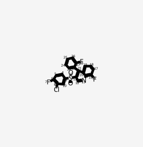 O=S(=O)(c1ccc(F)c(Cl)c1)c1cnc2c(F)cccc2c1-c1ccccc1F